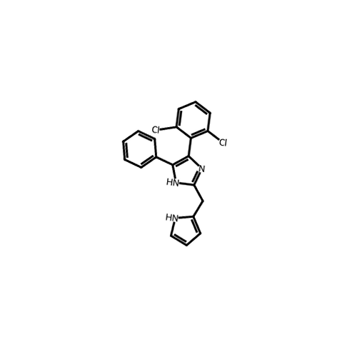 Clc1cccc(Cl)c1-c1nc(Cc2ccc[nH]2)[nH]c1-c1ccccc1